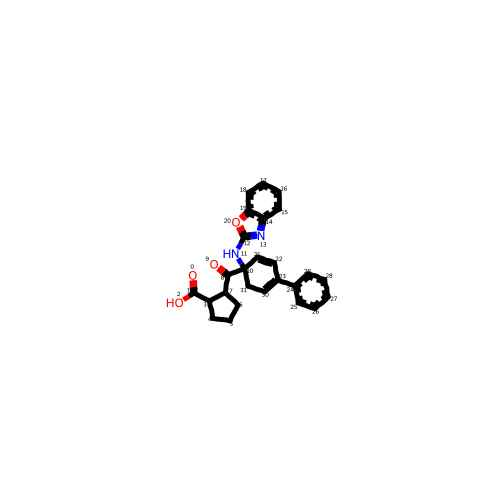 O=C(O)C1CCCC1C(=O)C1(Nc2nc3ccccc3o2)C=CC(c2ccccc2)=CC1